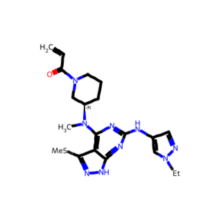 C=CC(=O)N1CCC[C@@H](N(C)c2nc(Nc3cnn(CC)c3)nc3[nH]nc(SC)c23)C1